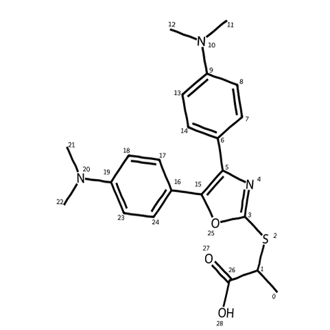 CC(Sc1nc(-c2ccc(N(C)C)cc2)c(-c2ccc(N(C)C)cc2)o1)C(=O)O